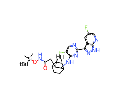 CC(C)(C)[Si](C)(C)ONC(=O)C[C@H]1C2CCC(CC2)[C@@H]1Nc1nc(-c2n[nH]c3ncc(F)cc23)ncc1F